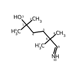 CC(C)(O)CCC(C)(C)C=N